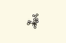 C1=C(c2nc(-c3ccccc3)nc(-c3cccc4oc5c(-c6cc7ccccc7c7ccccc67)cccc5c34)n2)CCc2oc3ccccc3c21